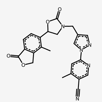 Cc1cc(-n2cc(CN3CC(c4ccc5c(c4C)COC5=O)OC3=O)cn2)ncc1C#N